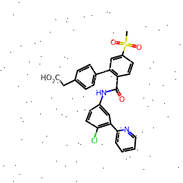 CS(=O)(=O)c1ccc(C(=O)Nc2ccc(Cl)c(-c3ccccn3)c2)c(-c2ccc(CC(=O)O)cc2)c1